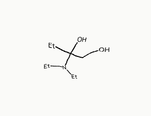 CCN(CC)C(O)(CC)CO